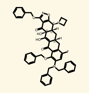 O=C1C2=C(O)[C@]3(O)C(=O)c4c(OCc5ccccc5)noc4[C@@H](N4CCC4)[C@@H]3C[C@@H]2Cc2c(F)cc(N(Cc3ccccc3)Cc3ccccc3)c(OCc3ccccc3)c21